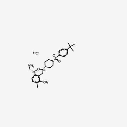 Cc1ccc2c(c1O)C[C@@H](C1CCN(S(=O)(=O)c3ccc(C(C)(C)C)cc3)CC1)O[C@H]2CN.Cl